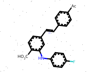 CC(=O)c1ccc(/C=C/c2ccc(C(=O)O)c(Nc3ccc(F)cc3)c2)cc1